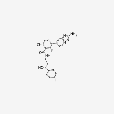 Nc1nc2cc(-c3ccc(Cl)c(C(=O)NCCC(O)c4ccc(F)cc4)c3F)ccn2n1